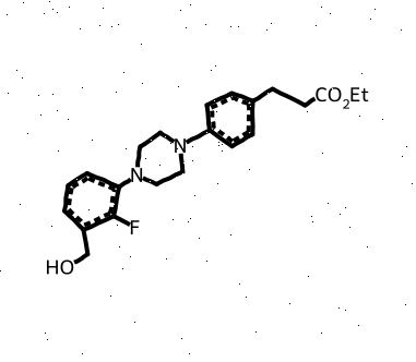 CCOC(=O)CCc1ccc(N2CCN(c3cccc(CO)c3F)CC2)cc1